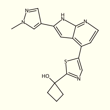 Cn1cc(-c2cc3c(-c4cnc(C5(O)CCC5)s4)ccnc3[nH]2)cn1